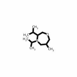 CC1COCC(C(C)C)N(C(C)C)C1